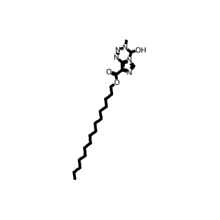 CCCCCCCCCCCCCCCCOC(=O)c1ncn2c1N=NN(C)C2O